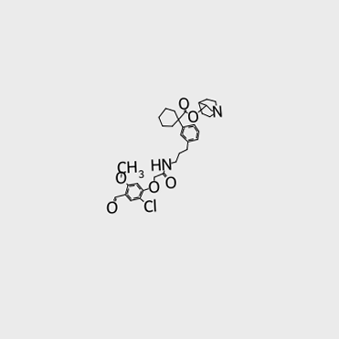 COc1cc(OCC(=O)NCCCc2cccc(C3(C(=O)OC4CN5CCC4CC5)CCCCC3)c2)c(Cl)cc1C=O